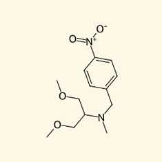 COCC(COC)N(C)Cc1ccc([N+](=O)[O-])cc1